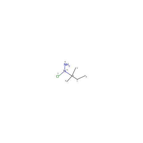 CCC(C)(C)N(N)Cl